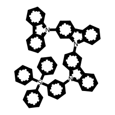 c1ccc([Si](c2ccccc2)(c2ccccc2)c2cccc(-n3c4ccccc4c4cc(-n5c6ccccc6c6ccc(-n7c8ccccc8c8ccccc87)cc65)ccc43)c2)cc1